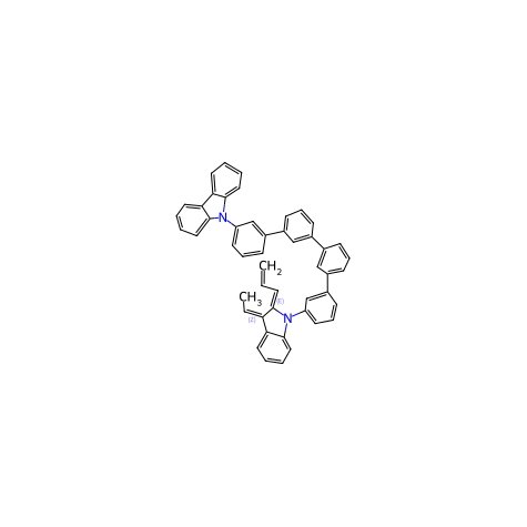 C=C/C=c1\c(=C/C)c2ccccc2n1-c1cccc(-c2cccc(-c3cccc(-c4cccc(-n5c6ccccc6c6ccccc65)c4)c3)c2)c1